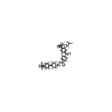 CC(C)COc1cc(NC2CCN(C(=O)CCN3CCC(c4ccc(C(F)(F)F)cc4)CC3)CC2)ccc1[N+](=O)[O-]